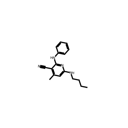 CCCCNc1cc(C)c(C#N)c(Nc2ccccc2)n1